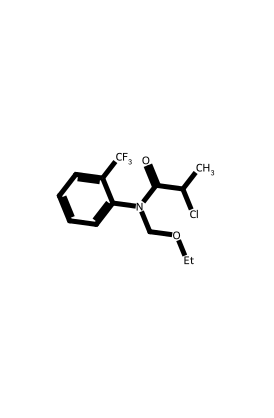 CCOCN(C(=O)C(C)Cl)c1ccccc1C(F)(F)F